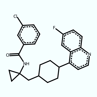 O=C(NC1(CC2CCC(c3ccnc4ccc(F)cc34)CC2)CC1)c1cccc(Cl)c1